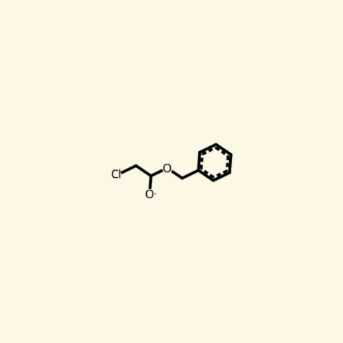 [O]C(CCl)OCc1ccccc1